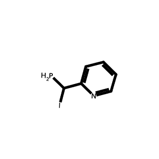 PC(I)c1ccccn1